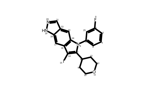 Fc1cccc(-n2c(C3CCOCC3)c(I)c3cc4[nH]ncc4cc32)c1